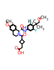 COCC(C)(C)c1c(F)cc(NC(=O)[C@H]2c3ccc(OC)cc3CCN2C(=O)C2CC(CC(=O)O)C2)cc1F